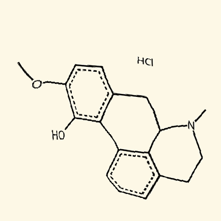 COc1ccc2c(c1O)-c1cccc3c1C(C2)N(C)CC3.Cl